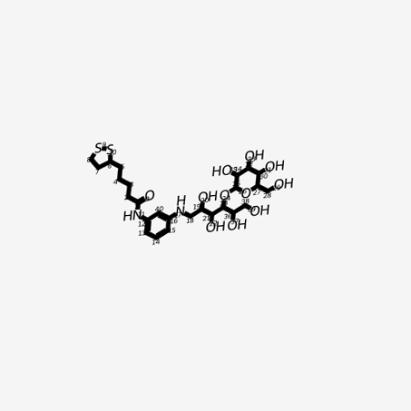 O=C(CCCCC1CCSS1)Nc1cccc(NCC(O)C(O)C(OC2OC(CO)C(O)C(O)C2O)C(O)CO)c1